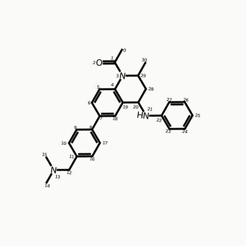 CC(=O)N1c2ccc(-c3ccc(CN(C)C)cc3)cc2C(Nc2ccccc2)CC1C